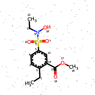 CCc1ccc(S(=O)(=O)N(O)CC)cc1C(=O)OC